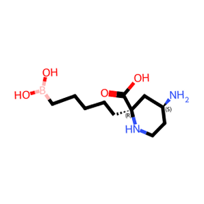 N[C@H]1CCN[C@@](CCCCCB(O)O)(C(=O)O)C1